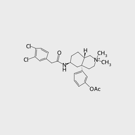 CC(=O)Oc1cccc([C@@]23CC[N+](C)(C)C[C@H]2CC[C@H](NC(=O)Cc2ccc(Cl)c(Cl)c2)C3)c1